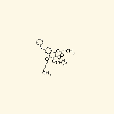 CCCCCOc1c(OC)c(OC)c(OC(=O)CC)c2ccc(Cc3ccccc3)cc12